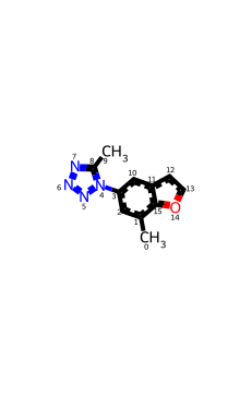 Cc1cc(-n2nnnc2C)cc2ccoc12